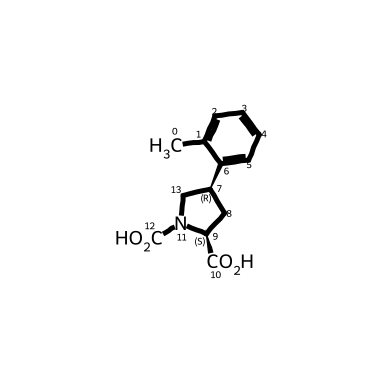 Cc1ccccc1[C@H]1C[C@@H](C(=O)O)N(C(=O)O)C1